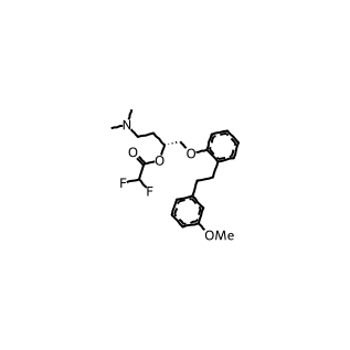 COc1cccc(CCc2ccccc2OC[C@@H](CCN(C)C)OC(=O)C(F)F)c1